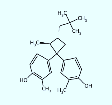 Cc1cc(C2(c3ccc(O)c(C)c3)C[C@@H](CC(C)(C)C)[C@@H]2C)ccc1O